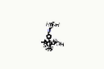 Cc1sc2c(c1C)C(c1ccc(C/C=C/CNO)cc1)=NC(CC(=O)O)c1nnc(C)n1-2